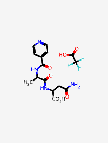 CC(NC(=O)c1ccncc1)C(=O)NC(CC(N)=O)C(=O)O.O=C(O)C(F)(F)F